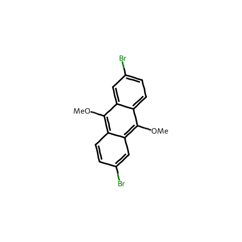 COc1c2ccc(Br)cc2c(OC)c2ccc(Br)cc12